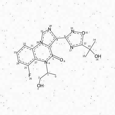 CC(CO)n1c(=O)c2c(-c3noc(C(C)(C)O)n3)ncn2c2cccc(F)c21